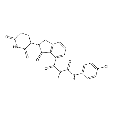 CN(C(=O)Nc1ccc(Cl)cc1)C(=O)c1cccc2c1C(=O)N(C1CCC(=O)NC1=O)C2